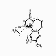 Cc1ccc2c(c1)CCCN1C(=O)C[C@H]3[C@H](CN)[C@@H](C)CC231